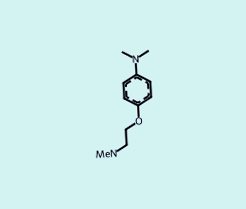 CNCCOc1ccc(N(C)C)cc1